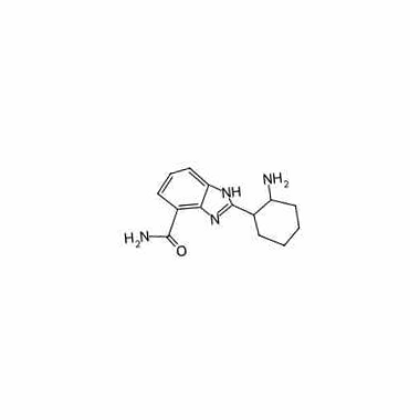 NC(=O)c1cccc2[nH]c(C3CCCCC3N)nc12